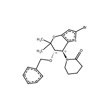 CC1(C)Oc2cc(Br)sc2[C@@H](N2CCCCC2=O)[C@@H]1OCc1ccccc1